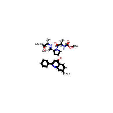 CCC[C@H](/N=C(\SC)[C@@H]1C[C@@H](Oc2cc(-c3ccccc3)nc3cc(OC)ccc23)CN1C(=O)C(NC(=O)OC(C)(C)C)C(C)C)C(=O)OC